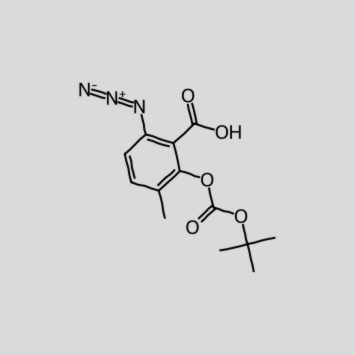 Cc1ccc(N=[N+]=[N-])c(C(=O)O)c1OC(=O)OC(C)(C)C